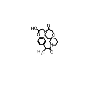 CC(C(=O)N1CCC[C@@]2(CCN(CC(=O)O)C(=O)CO2)C1)c1ccccc1